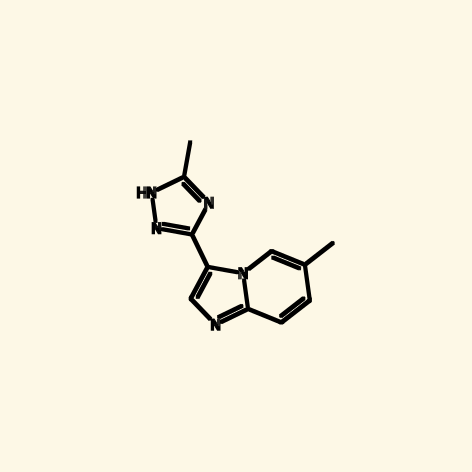 Cc1ccc2ncc(-c3n[nH]c(C)n3)n2c1